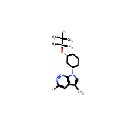 Cc1cn([C@@H]2CCC[C@@H](O[Si](C)(C)C(C)(C)C)C2)c2nnc(Cl)cc12